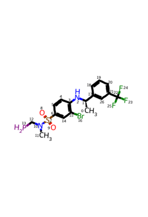 C[C@@H](Nc1ccc(S(=O)(=O)N(C)CP)cc1Br)c1cccc(C(F)(F)F)c1